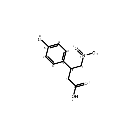 O=C(O)CC(C[N+](=O)[O-])c1ccc(Cl)cc1